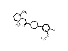 COc1cc(N2CCN(C(=O)CN3[C@H](C)CCC[C@@H]3C)CC2)ccc1Cl